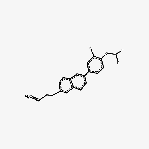 C=CCCc1ccc2cc(-c3ccc(OC(F)F)c(F)c3)ccc2c1